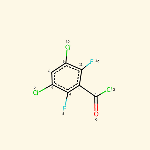 O=C(Cl)c1c(F)c(Cl)cc(Cl)c1F